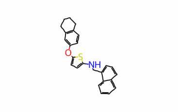 c1ccc2c(CNc3ccc(Oc4ccc5c(c4)CCCC5)s3)cccc2c1